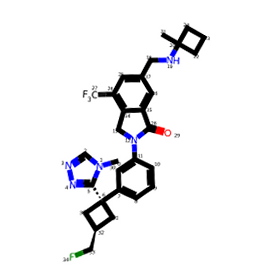 Cn1cnnc1[C@]1(c2cccc(N3Cc4c(cc(CNC5(C)CCC5)cc4C(F)(F)F)C3=O)c2)C[C@@H](CF)C1